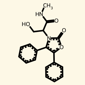 CNC(=O)C(CO)n1c(-c2ccccc2)c(-c2ccccc2)oc1=O